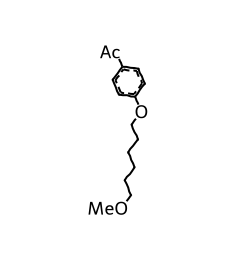 COCCCCCCOc1ccc(C(C)=O)cc1